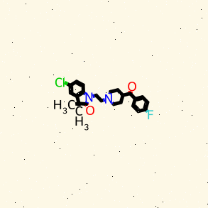 CC1(C)C(=O)N(CCN2CCC(C(=O)c3ccc(F)cc3)CC2)c2ccc(Cl)cc21